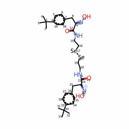 CC(C)(C)c1ccc(C/C(=N\O)C(=O)NCC[Se][Se]CCNC(=O)/C(Cc2ccc(C(C)(C)C)cc2)=N/O)cc1